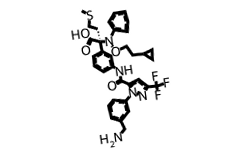 CSCC[C@@](C(=O)O)(c1cccc(NC(=O)c2cc(C(F)(F)F)nn2-c2cccc(CN)c2)c1)N(OCCC1CC1)c1ccccc1